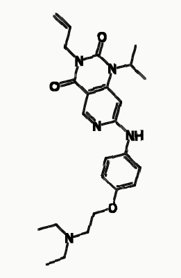 C=CCn1c(=O)c2cnc(Nc3ccc(OCCN(CC)CC)cc3)cc2n(C(C)C)c1=O